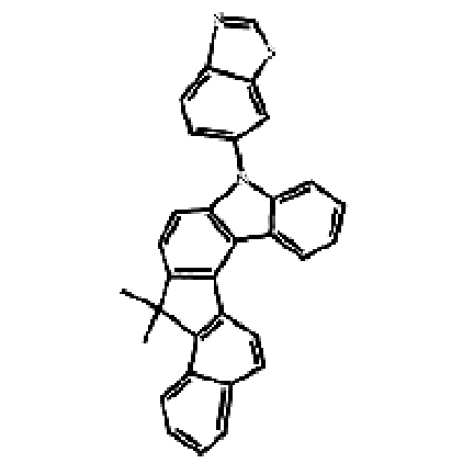 CC1(C)c2ccc3c(c2-c2ccc4ccccc4c21)c1ccccc1n3-c1ccc2ncsc2c1